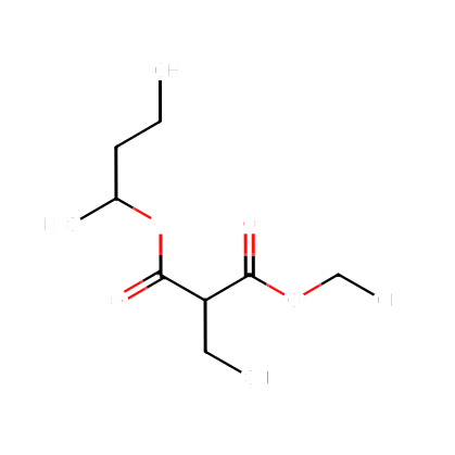 CCCC(C)OC(=O)C(CC)C(=O)OCC